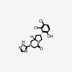 O=C1CN(c2ncn[nH]2)C[C@@H]2C[C@H](c3c(O)ccc(Cl)c3Cl)CN12